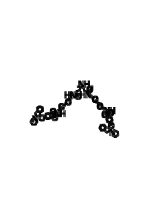 CC(N)(CCC(=O)NCCOCCOCCNS(=O)(=O)c1ccc(O[C@H]2c3ccccc3C[C@@H]2N2CCCCC2)cc1)CCC(=O)NCCOCCOCCNS(=O)(=O)c1ccc(O[C@H]2c3ccccc3C[C@@H]2N2CCCCC2)cc1